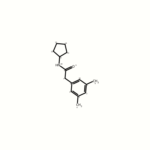 Cc1cc(C)cc(CC(=O)NC2CCCC2)c1